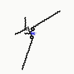 CCCCCCCCCCCCCCCCCCCCCCCCCc1ccc(C2=C(CCCC)C(CCCC)=C(c3ccc(CCCCCCCCCCCCCCCCCCCCCCCCC)cc3)[N+]2=[N-])cc1.CCCCCCCC[CH2][Ni][CH2]CCCCCCCC